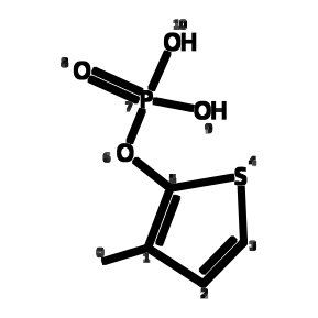 Cc1ccsc1OP(=O)(O)O